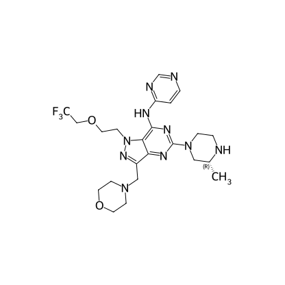 C[C@@H]1CN(c2nc(Nc3ccncn3)c3c(n2)c(CN2CCOCC2)nn3CCOCC(F)(F)F)CCN1